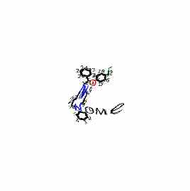 COc1ccccc1N1CCN(CC(Oc2ccc(F)cc2)c2ccccc2)CC1